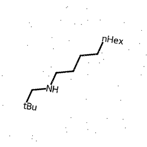 CCCCCCCCCCNCC(C)(C)C